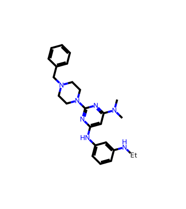 CCNc1cccc(Nc2cc(N(C)C)nc(N3CCN(Cc4ccccc4)CC3)n2)c1